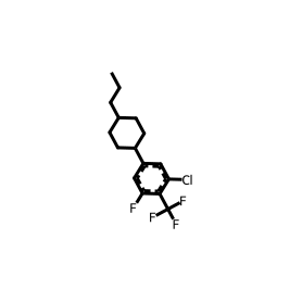 CCCC1CCC(c2cc(F)c(C(F)(F)F)c(Cl)c2)CC1